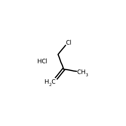 C=C(C)CCl.Cl